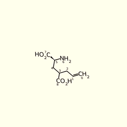 C=CCC(C[C@H](N)C(=O)O)C(=O)O